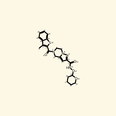 Cc1c(C(=O)N2CCn3nc(C(=O)NOC4CCCCO4)cc3C2)sc2ccccc12